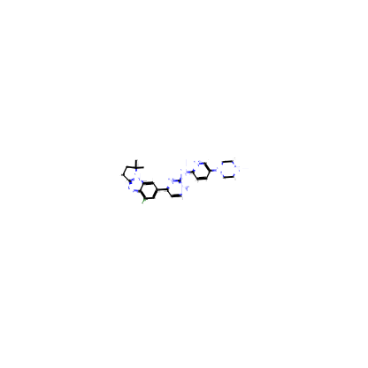 CC1(C)CCc2nc3c(F)cc(-c4ccnc(Nc5ccc(N6CCNCC6)cn5)n4)cc3n21